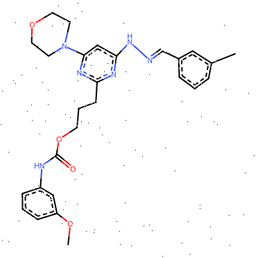 COc1cccc(NC(=O)OCCCc2nc(N/N=C/c3cccc(C)c3)cc(N3CCOCC3)n2)c1